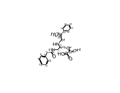 C[C@@H](CNC(=O)Cc1ccccc1)NC[C@H](O)c1ccccc1.O=C(O)C(=O)O